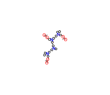 CCC1(COCc2ccc(N(c3ccc(-c4ccc(N(c5ccccc5)c5ccc(-c6ccc(N(c7ccc(COCC8(CC)COC8)cc7)c7cccc8ccccc78)cc6)cc5)cc4)cc3)c3ccc(-c4ccc(N(c5ccc(COCC6(CC)COC6)cc5)c5cccc6ccccc56)cc4)cc3)cc2)COC1